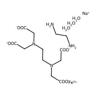 NCCN.O.O.O.O=C([O-])CN(CCN(CC(=O)[O-])CC(=O)[O-])CC(=O)[O-].[Fe+3].[Na+]